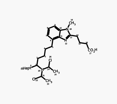 CCCCCCCC(CCCCc1cccc2c1nc(CCCC(=O)O)n2C)N(C(C)Cl)C(C)Cl